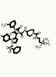 Cc1c(-c2ccnn2-c2ccc(C#N)cc2)n(C(=O)NC2CCN(C(=O)NCC[N+](C)(C)C)CC2)c(=O)n1-c1cccc(C(F)(F)F)c1.O=S(=O)([O-])c1ccccc1